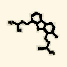 N=C(N)SCc1cccc2c1sc1c(CSC(=N)N)c(Br)ccc12